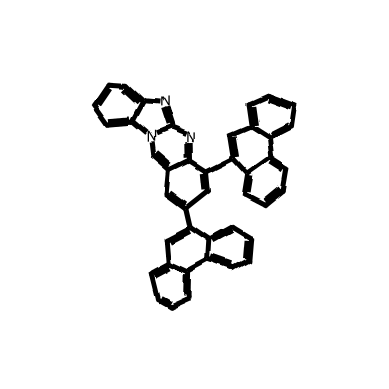 c1ccc2c(c1)cc(-c1cc(-c3cc4ccccc4c4ccccc34)c3nc4nc5ccccc5n4cc3c1)c1ccccc12